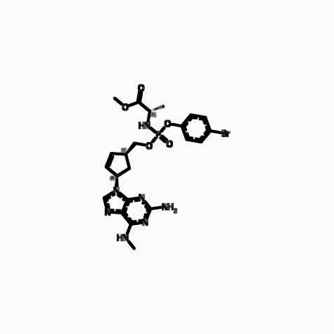 CNc1nc(N)nc2c1ncn2[C@H]1C=C[C@@H](COP(=O)(N[C@@H](C)C(=O)OC)Oc2ccc(Br)cc2)C1